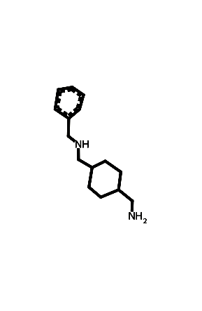 NCC1CCC(CNCc2ccccc2)CC1